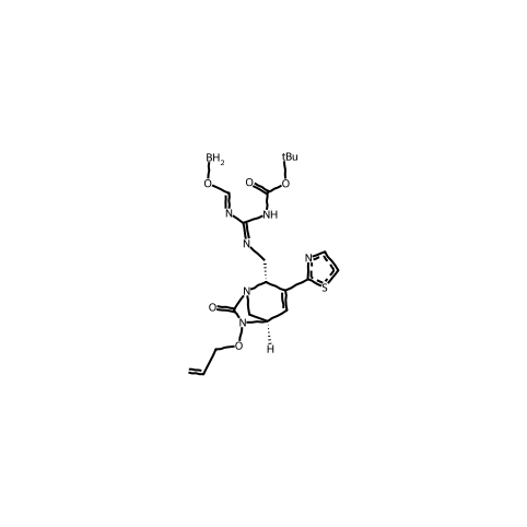 BOC=N/C(=N/C[C@@H]1C(c2nccs2)=C[C@@H]2CN1C(=O)N2OCC=C)NC(=O)OC(C)(C)C